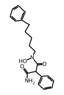 NC(=O)C(C(=O)N(O)CCCCCc1ccccc1)c1ccccc1